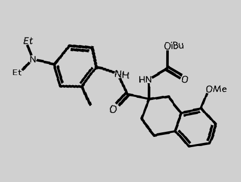 CCN(CC)c1ccc(NC(=O)C2(NC(=O)OCC(C)C)CCc3cccc(OC)c3C2)c(C)c1